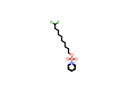 O=S(=O)(OCCCCCCCCCC(F)F)[n+]1ccccc1